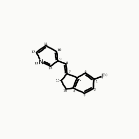 Fc1ccc2c(c1)C(=Cc1cccnc1)CC2